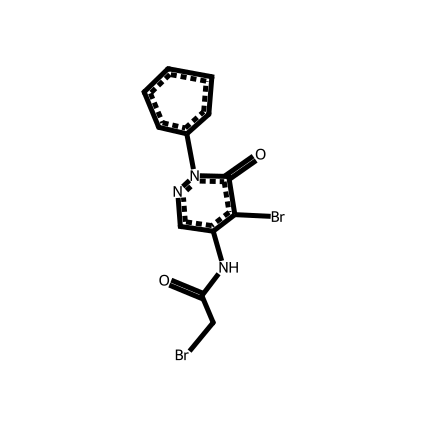 O=C(CBr)Nc1cnn(-c2ccccc2)c(=O)c1Br